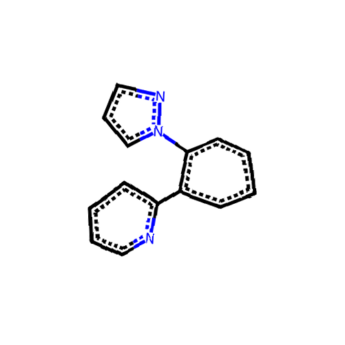 c1ccc(-c2ccccc2-n2cccn2)nc1